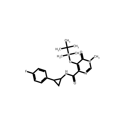 Cn1cnc(C(=O)NC2CC2c2ccc(F)cc2)c(O[Si](C)(C)C(C)(C)C)c1=O